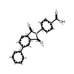 O=C(O)c1ccc(N2C(=O)c3ccc(-c4ccccc4)cc3C2=O)cc1